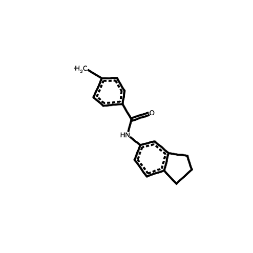 [CH2]c1ccc(C(=O)Nc2ccc3c(c2)CCC3)cc1